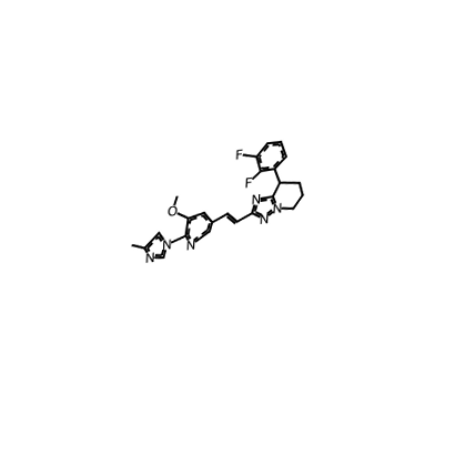 COc1cc(C=Cc2nc3n(n2)CCCC3c2cccc(F)c2F)cnc1-n1cnc(C)c1